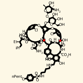 CCCCCOc1ccc(S(=O)(=O)NCCCCNCc2c(O)cc3c(c2O)-c2cc(ccc2O)[C@H]2CC(=O)[C@@H]4NC(=O)[C@H](CC(N)=O)CC(=O)[C@H](NC(=O)[C@H](CC)CC(C)C)[C@H](O)c5ccc(c(Cl)c5)Oc5cc4cc(c5O[C@@H]4O[C@H](CO)[C@@H](O)[C@H](O)[C@H]4O[C@H]4C[C@](C)(N)[C@H](O)[C@H](C)O4)Oc4ccc(cc4Cl)[C@@H](O)[C@H](NC2=O)C(=O)N[C@@H]3C(=O)O)cc1